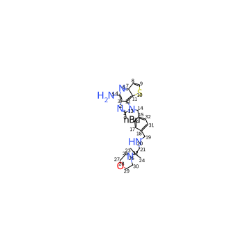 CCCCc1nc2c(N)nc3ccsc3c2n1Cc1ccc(CNCC(C)(C)N2CCOCC2)cc1